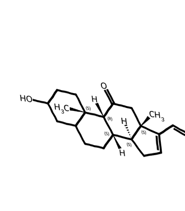 C[C@]12CCC(O)CC1CC[C@@H]1[C@H]2C(=O)C[C@]2(C)C(C=O)=CC[C@@H]12